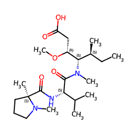 CC[C@H](C)[C@@H]([C@@H](CC(=O)O)OC)N(C)C(=O)[C@@H](NC(=O)[C@]1(C)CCCN1C)C(C)C